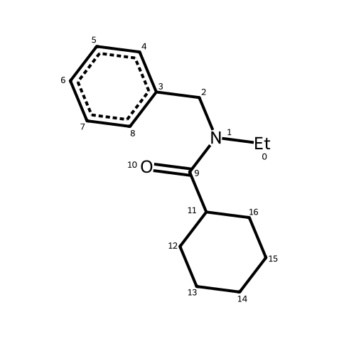 CCN(Cc1ccccc1)C(=O)C1CCCCC1